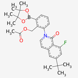 CC(=O)OCc1c(B2OC(C)(C)C(C)(C)O2)cccc1-n1ccc2cc(C(C)(C)C)cc(F)c2c1=O